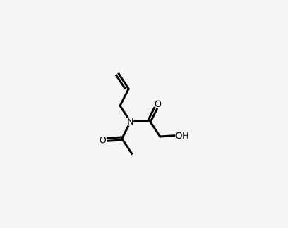 C=CCN(C(C)=O)C(=O)CO